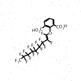 O=C(O)c1cccc(C(=O)O)c1OC(F)=C(F)C(F)(F)C(F)(F)C(F)(F)C(F)(F)C(F)(F)C(F)(F)C(F)(F)F